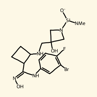 CN[S+]([O-])N1CC(O)(CNC2CCC2/C(=N/O)Nc2ccc(F)c(Br)c2)C1